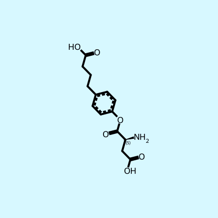 N[C@@H](CC(=O)O)C(=O)Oc1ccc(CCCC(=O)O)cc1